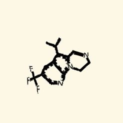 CC(C)c1c2n(c3ncc(C(F)(F)F)cc13)CCN=C2